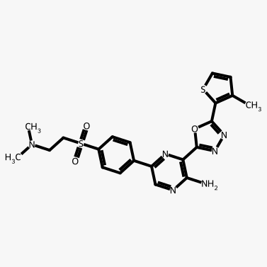 Cc1ccsc1-c1nnc(-c2nc(-c3ccc(S(=O)(=O)CCN(C)C)cc3)cnc2N)o1